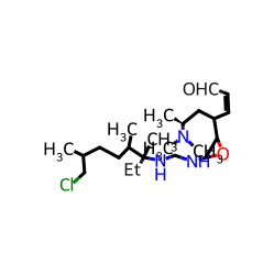 CCC(C)(NCNC1OC1C(/C=C\C=O)C[C@H](C)N(C)C)C(C)CCC(C)CCl